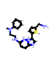 CN(CCNc1ccc2ncc(-c3ccc(CN)s3)n2n1)c1ccccc1